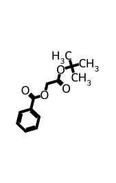 CC(C)(C)OC(=O)COC(=O)c1ccccc1